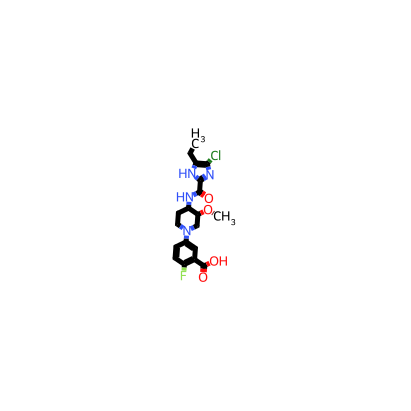 CCc1[nH]c(C(=O)NC2CCN(c3ccc(F)c(C(=O)O)c3)CC2OC)nc1Cl